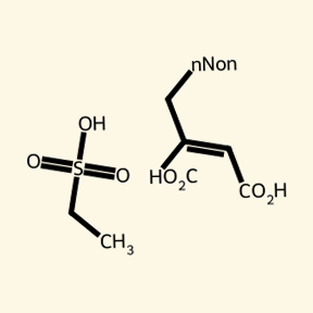 CCCCCCCCCC/C(=C/C(=O)O)C(=O)O.CCS(=O)(=O)O